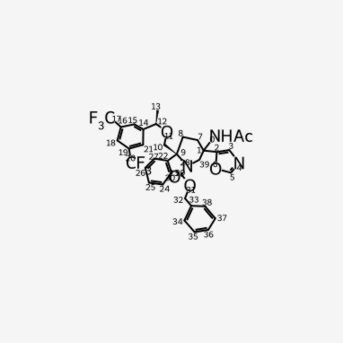 CC(=O)NC1(c2cnco2)CC[C@@](CO[C@H](C)c2cc(C(F)(F)F)cc(C(F)(F)F)c2)(c2ccccc2)N(C(=O)OCc2ccccc2)C1